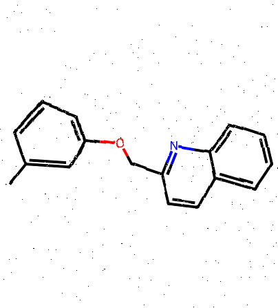 [CH2]c1cccc(OCc2ccc3ccccc3n2)c1